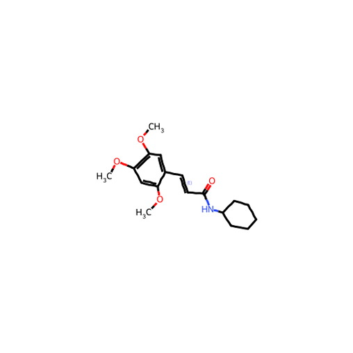 COc1cc(OC)c(OC)cc1/C=C/C(=O)NC1CCCCC1